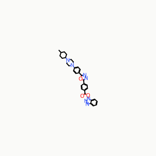 CC1CCC(N2CCN(c3ccc(-c4nnc(-c5ccc(C(=O)On6nnc7ccccc76)cc5)o4)cc3)CC2)CC1